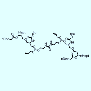 C=CCOP(OCCNC(=O)NCCOP(OCC=C)OC[C@@H](COCC[C@@H](CCCCCCC)OC(=O)CCCCCCCCCCC)NC(=O)OC(C)(C)C)OC[C@@H](COCC[C@@H](CCCCCCC)OC(=O)CCCCCCCCCCC)NC(=O)OC(C)(C)C